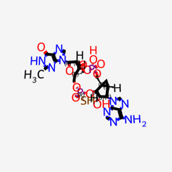 Cc1nc2c(ncn2[C@@H]2O[C@@]34CO[C@@H]2[C@@H]3OP(=O)(O)OC[C@@]23C[C@@H]2[C@@H](n2cnc5c(N)ncnc52)[C@H](O)[C@@H]3O[P@](=O)(S)OC4)c(=O)[nH]1